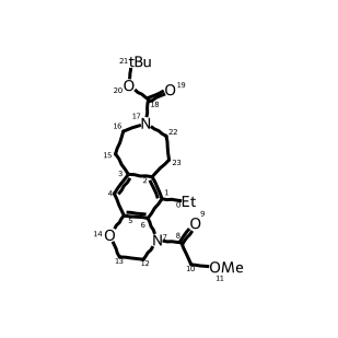 CCc1c2c(cc3c1N(C(=O)COC)CCO3)CCN(C(=O)OC(C)(C)C)CC2